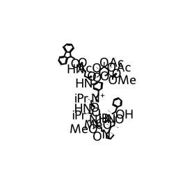 CC[C@H](C)[C@@H]([C@@H](CC(=O)N1CCC[C@H]1[C@H](OC)[C@@H](C)C(=O)N[C@H](C)[C@@H](O)c1ccccc1)OC)N(C)C(=O)[C@@H](NC(=O)[C@H](C(C)C)[N+](C)(C)Cc1ccc(O[C@@H]2O[C@H](C(=O)OC)[C@@H](OC(C)=O)[C@H](OC(C)=O)[C@H]2OC(C)=O)c(NC(=O)CCNC(=O)OCC2c3ccccc3-c3ccccc32)c1)C(C)C